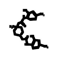 Cc1ccc(NC(=O)CN2CC[N+](C)(CC(=O)Nc3ccc(C)cc3O)CC2)c(O)c1